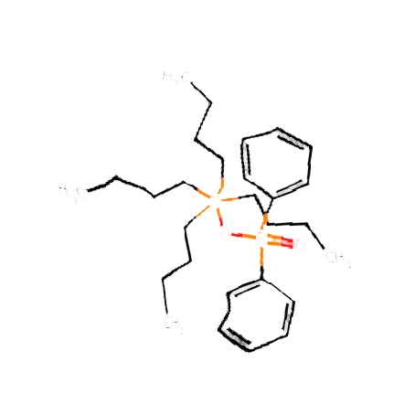 CCCCP(CCCC)(CCCC)(CCCC)OP(=O)(c1ccccc1)c1ccccc1